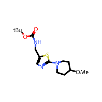 COC1CCN(c2ncc(CNC(=O)OC(C)(C)C)s2)CC1